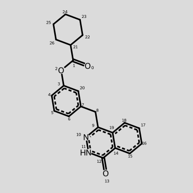 O=C(Oc1cccc(Cc2n[nH]c(=O)c3ccccc23)c1)C1CCCCC1